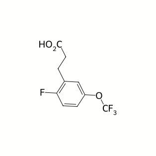 O=C(O)CCc1cc(OC(F)(F)F)ccc1F